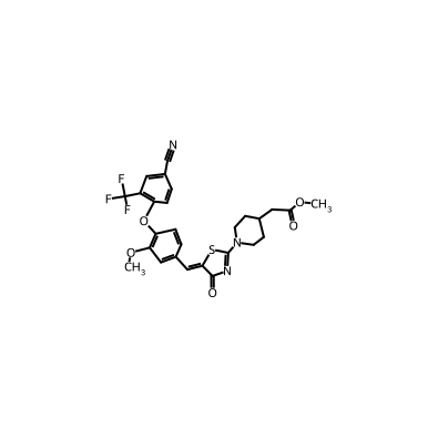 COC(=O)CC1CCN(C2=NC(=O)/C(=C/c3ccc(Oc4ccc(C#N)cc4C(F)(F)F)c(OC)c3)S2)CC1